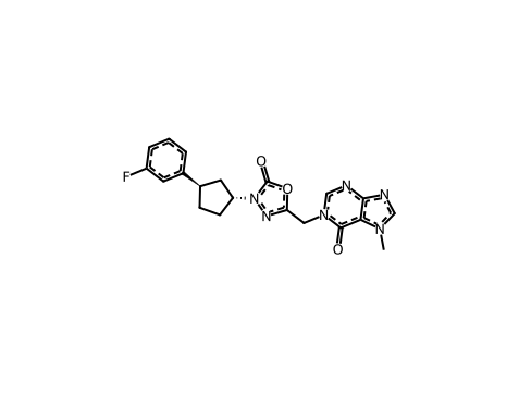 Cn1cnc2ncn(Cc3nn([C@@H]4CC[C@@H](c5cccc(F)c5)C4)c(=O)o3)c(=O)c21